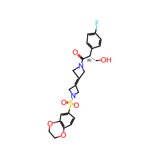 O=C([C@@H](CO)c1ccc(F)cc1)N1CC(=C2CN(S(=O)(=O)c3ccc4c(c3)OCCO4)C2)C1